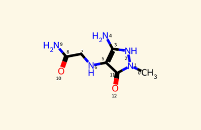 Cn1[nH]c(N)c(NCC(N)=O)c1=O